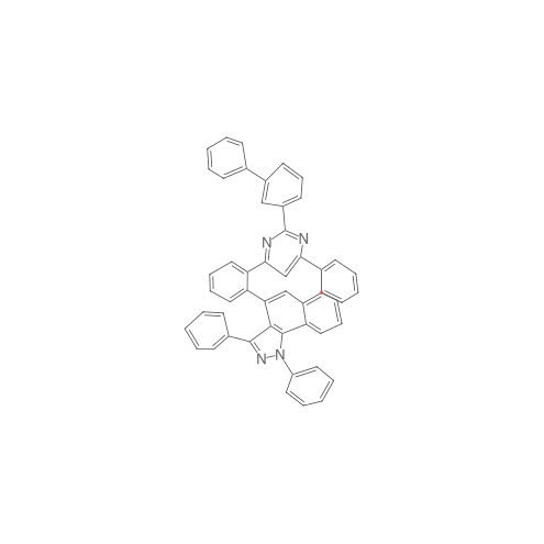 c1ccc(-c2cccc(-c3nc(-c4ccccc4)cc(-c4ccccc4-c4cc5ccccc5c5c4c(-c4ccccc4)nn5-c4ccccc4)n3)c2)cc1